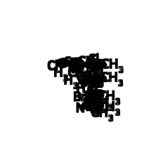 CCOP(=S)(OCC)Oc1cc(Cl)c(Br)cc1Cl.CCOP(=S)(OCC)Oc1ccc(SC)c(Cl)c1Cl.CCOP(=S)(OCC)SCSc1ccc(Cl)cc1.COP(=S)(OC)Oc1cc(Cl)c(Br)cc1Cl.COP(=S)(OC)Oc1ccc(C#N)cc1